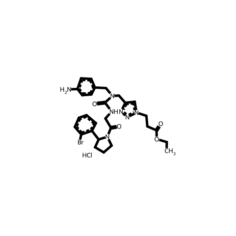 CCOC(=O)CCn1cc(CN(Cc2ccc(N)cc2)C(=O)NCC(=O)N2CCCC2c2ccccc2Br)nn1.Cl